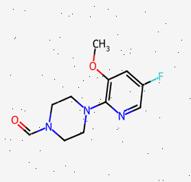 COc1cc(F)cnc1N1CCN(C=O)CC1